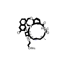 COCCO[C@H]1/C=C/C[C@@H](C)CS(=O)(=O)NC(=O)c2ccc3c(c2)N(C[C@@H]2CC[C@H]21)C[C@@]1(CCCc2cc(Cl)ccc21)CO3